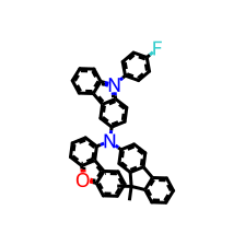 CC1(C)c2ccccc2-c2ccc(N(c3ccc4c(c3)c3ccccc3n4-c3ccc(F)cc3)c3cccc4oc5ccccc5c34)cc21